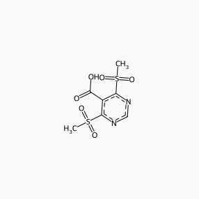 CS(=O)(=O)c1ncnc(S(C)(=O)=O)c1C(=O)O